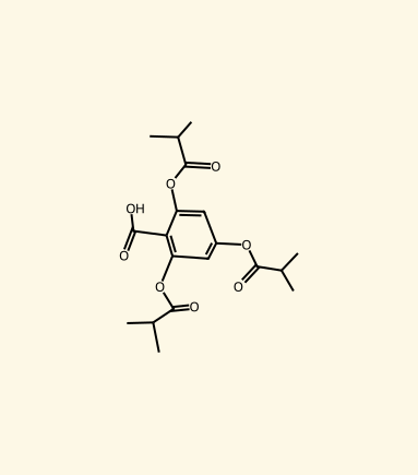 CC(C)C(=O)Oc1cc(OC(=O)C(C)C)c(C(=O)O)c(OC(=O)C(C)C)c1